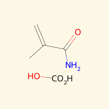 C=C(C)C(N)=O.O=C(O)O